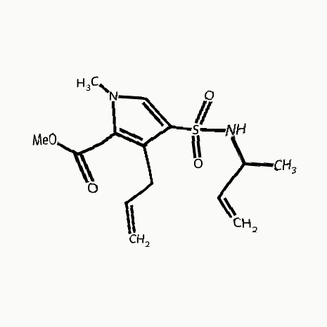 C=CCc1c(S(=O)(=O)NC(C)C=C)cn(C)c1C(=O)OC